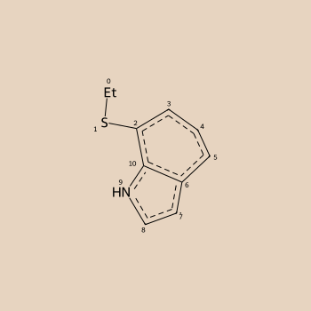 CCSc1cccc2[c]c[nH]c12